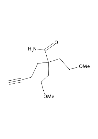 C#CCCC(CCOC)(CCOC)C(N)=O